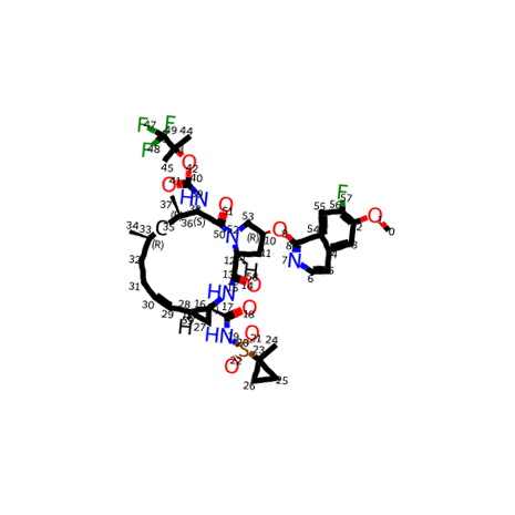 COc1cc2ccnc(O[C@@H]3C[C@H]4C(=O)N[C@]5(C(=O)NS(=O)(=O)C6(C)CC6)C[C@H]5C=CCC[C@@H](C)C[C@@H](C)[C@H](NC(=O)OC(C)(C)C(F)(F)F)C(=O)N4C3)c2cc1F